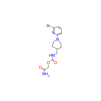 NC(=O)COC(=O)NCC1CCN(c2cccc(Br)n2)CC1